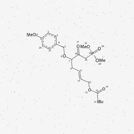 COc1ccc(COC(CC=CCOC(=O)C(C)(C)C)C(=O)CP(=O)(OC)OC)cc1